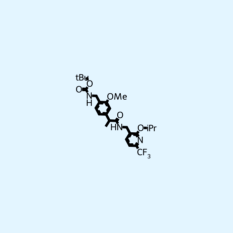 COc1cc(C(C)C(=O)NCc2ccc(C(F)(F)F)nc2OC(C)C)ccc1CNC(=O)OC(C)(C)C